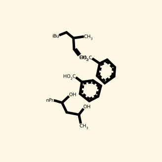 C=CC(C)CC(C)CC.CCCC(O)CC(C)O.O=C(O)c1ccccc1.O=C(O)c1ccccc1